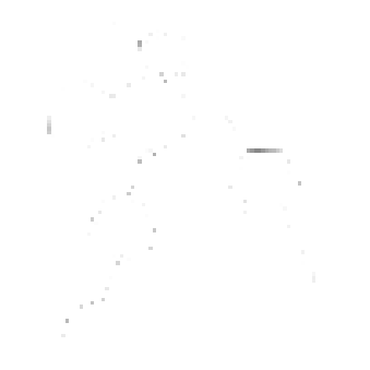 COC(=O)c1ccc(C2=NN(Cc3ccc(C#N)cc3)c3nnc(C)n3-c3ccccc32)cc1